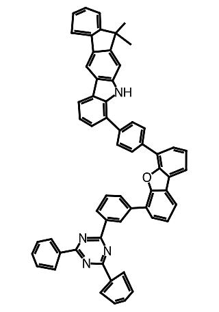 CC1(C)c2ccccc2-c2cc3c(cc21)[nH]c1c(-c2ccc(-c4cccc5c4oc4c(-c6cccc(-c7nc(-c8ccccc8)nc(-c8ccccc8)n7)c6)cccc45)cc2)cccc13